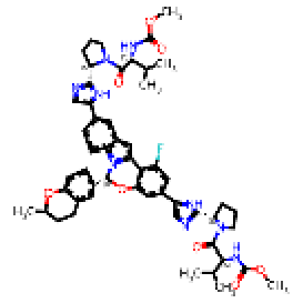 COC(=O)N[C@H](C(=O)N1CCC[C@H]1c1ncc(-c2cc(F)c3c(c2)O[C@H](c2ccc4c(c2)CCC(C)O4)n2c-3cc3cc(-c4cnc([C@@H]5CCCN5C(=O)[C@@H](NC(=O)OC)C(C)C)[nH]4)ccc32)[nH]1)C(C)C